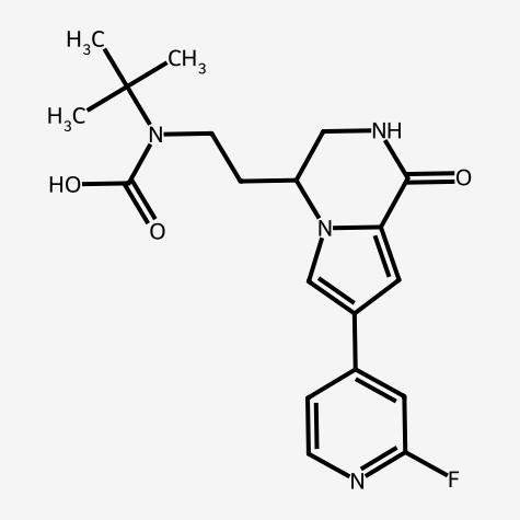 CC(C)(C)N(CCC1CNC(=O)c2cc(-c3ccnc(F)c3)cn21)C(=O)O